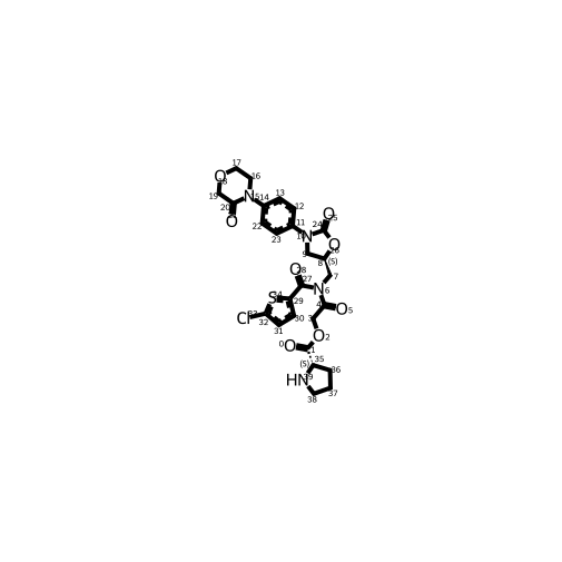 O=C(OCC(=O)N(C[C@H]1CN(c2ccc(N3CCOCC3=O)cc2)C(=O)O1)C(=O)c1ccc(Cl)s1)[C@@H]1CCCN1